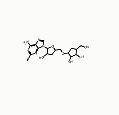 Nc1nc(F)nc2c1ncn2C1OC(COC2CC(CO)C(O)C2O)CC1O